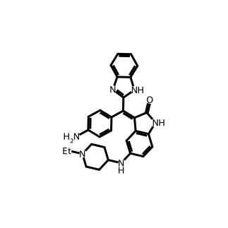 CCN1CCC(Nc2ccc3c(c2)C(=C(c2ccc(N)cc2)c2nc4ccccc4[nH]2)C(=O)N3)CC1